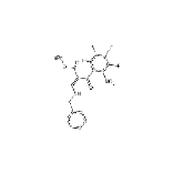 CCCOC(=O)/C(=C/NCc1ccccc1)C(=O)c1c(F)c(C)c(F)c(F)c1[N+](=O)[O-]